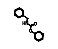 O=C(N[CH]c1ccccc1)Oc1ccccc1